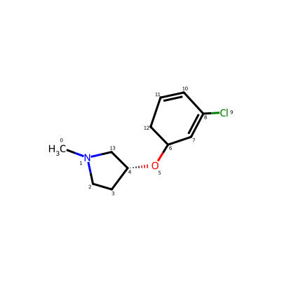 CN1CC[C@@H](OC2C=C(Cl)C=CC2)C1